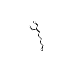 O=CCCCC=C(C=O)C=O